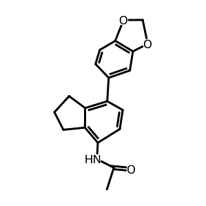 CC(=O)Nc1ccc(-c2ccc3c(c2)OCO3)c2c1CCC2